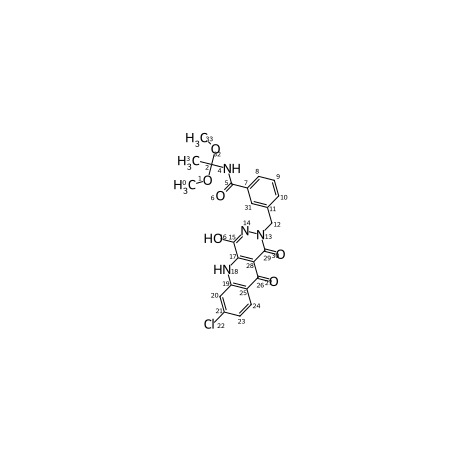 COC(C)(NC(=O)c1cccc(Cn2nc(O)c3[nH]c4cc(Cl)ccc4c(=O)c3c2=O)c1)OC